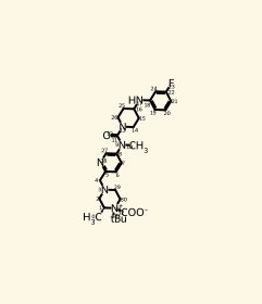 C[C@H]1CN(Cc2ccc(N(C)C(=O)N3CCC(Nc4cccc(F)c4)CC3)cn2)CC[N+]1(C(=O)[O-])C(C)(C)C